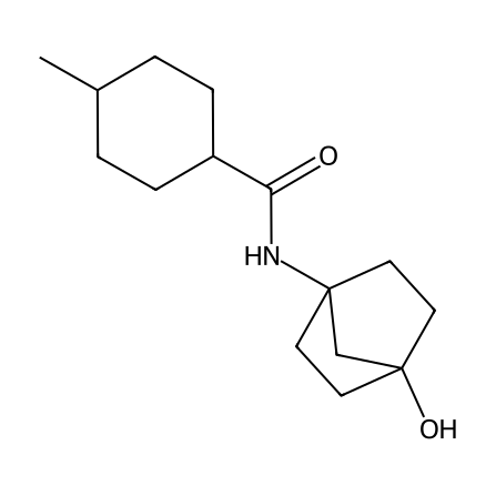 CC1CCC(C(=O)NC23CCC(O)(CC2)C3)CC1